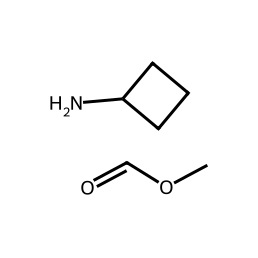 COC=O.NC1CCC1